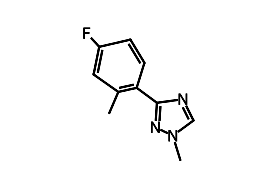 Cc1cc(F)ccc1-c1ncn(C)n1